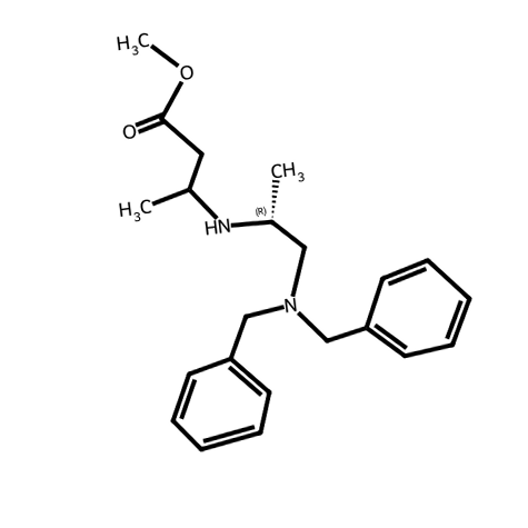 COC(=O)CC(C)N[C@H](C)CN(Cc1ccccc1)Cc1ccccc1